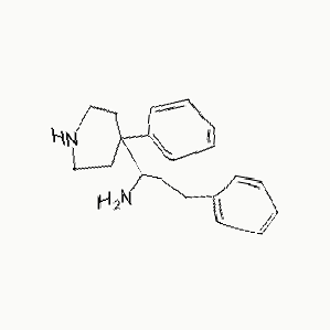 NC(CCc1ccccc1)C1(c2ccccc2)CCNCC1